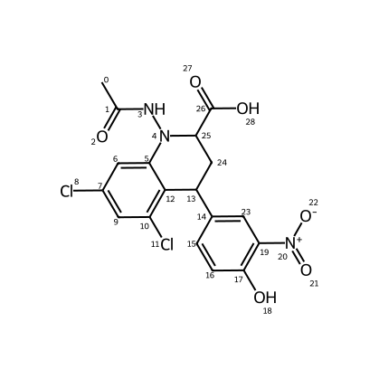 CC(=O)NN1c2cc(Cl)cc(Cl)c2C(c2ccc(O)c([N+](=O)[O-])c2)CC1C(=O)O